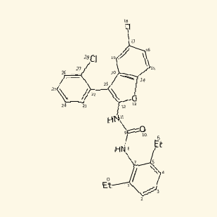 CCc1cccc(CC)c1NC(=O)Nc1oc2ccc(Cl)cc2c1-c1ccccc1Cl